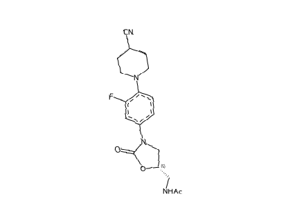 CC(=O)NC[C@H]1CN(c2ccc(N3CCC(C#N)CC3)c(F)c2)C(=O)O1